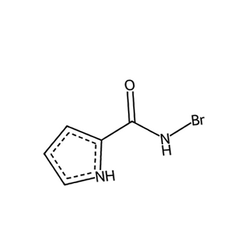 O=C(NBr)c1ccc[nH]1